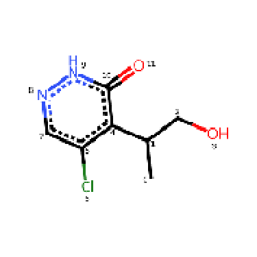 CC(CO)c1c(Cl)cn[nH]c1=O